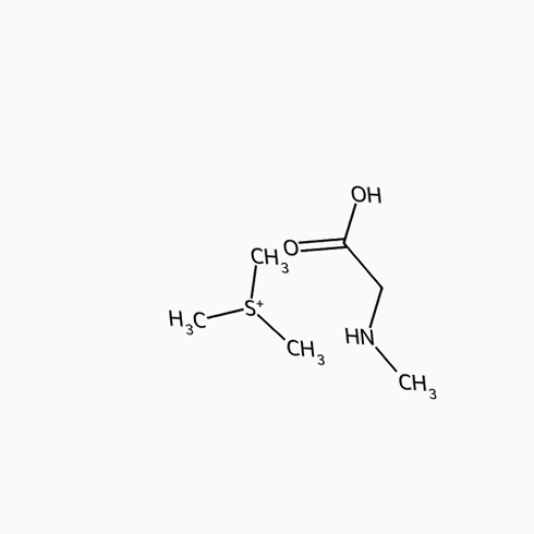 CNCC(=O)O.C[S+](C)C